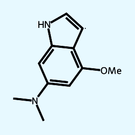 COc1cc(N(C)C)cc2[nH]c[c]c12